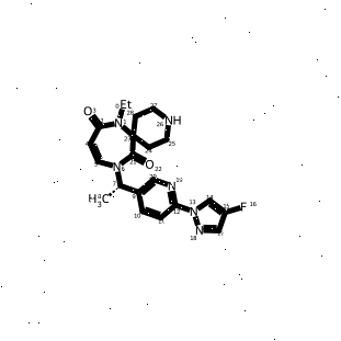 CCN1C(=O)C=CN([C@@H](C)c2ccc(-n3cc(F)cn3)nc2)C(=O)C12CCNCC2